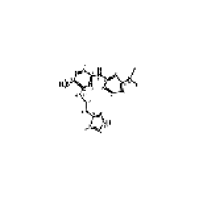 Bc1cnc(Nc2cccc(N(C)C)c2)nc1NCCc1c[nH]cn1